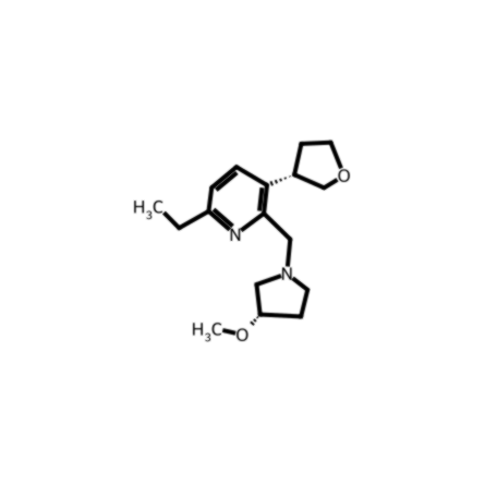 CCc1ccc([C@@H]2CCOC2)c(CN2CC[C@H](OC)C2)n1